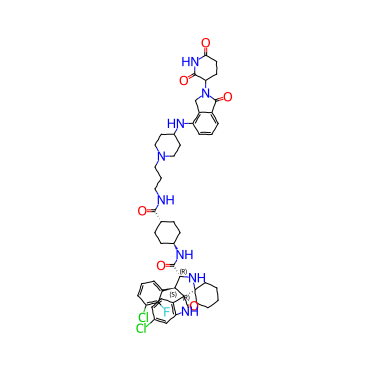 O=C1CCC(N2Cc3c(NC4CCN(CCCNC(=O)[C@H]5CC[C@H](NC(=O)[C@@H]6NC7(CCCCC7)[C@@]7(C(=O)Nc8cc(Cl)ccc87)[C@H]6c6cccc(Cl)c6F)CC5)CC4)cccc3C2=O)C(=O)N1